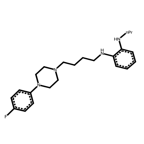 CCCNc1ccccc1NCCCCN1CCN(c2ccc(F)cc2)CC1